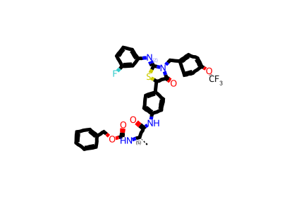 C[C@H](NC(=O)OCc1ccccc1)C(=O)Nc1ccc(C2S/C(=N\c3cccc(F)c3)N(Cc3ccc(OC(F)(F)F)cc3)C2=O)cc1